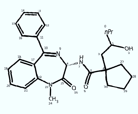 CCCC(O)CC1(C(=O)N[C@H]2N=C(c3ccccc3)c3ccccc3N(C)C2=O)CCCC1